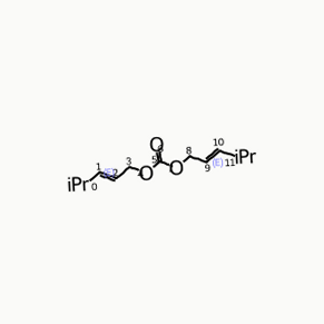 CC(C)/C=C/COC(=O)OC/C=C/C(C)C